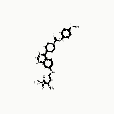 CC(C)Oc1ccc(NC(=O)N2CCC(c3ncnc4cc(OCCC(N)S(C)(=O)=O)ccc34)CC2)cc1